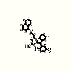 COc1ccc(OC)c(-c2c(OC(=O)O)n(CCCOc3cccc4ccccc34)c3ccccc23)c1